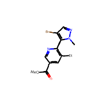 CCc1cc(C(=O)OC)cnc1-c1c(Br)cnn1C